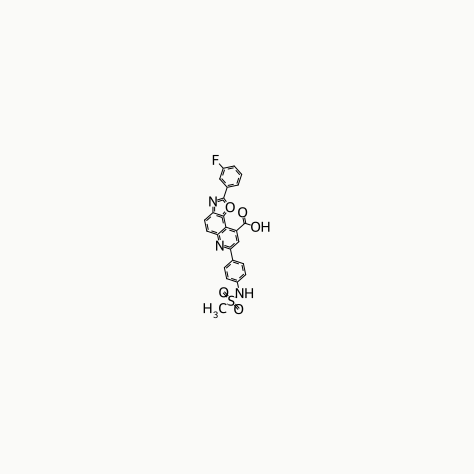 CS(=O)(=O)Nc1ccc(-c2cc(C(=O)O)c3c(ccc4nc(-c5cccc(F)c5)oc43)n2)cc1